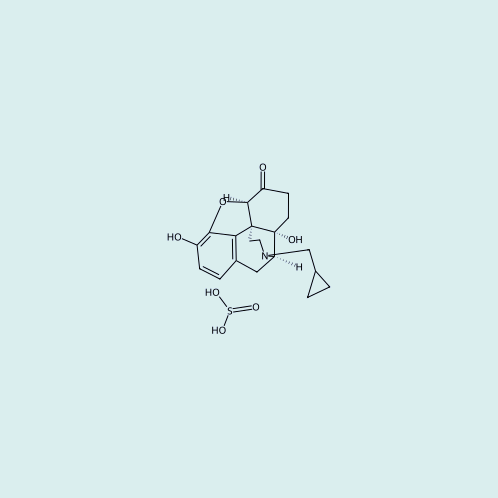 O=C1CC[C@@]2(O)[C@H]3Cc4ccc(O)c5c4[C@@]2(CCN3CC2CC2)[C@H]1O5.O=S(O)O